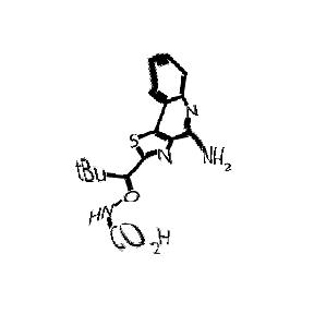 CC(C)(C)C(ONC(=O)O)c1nc2c(N)nc3ccccc3c2s1